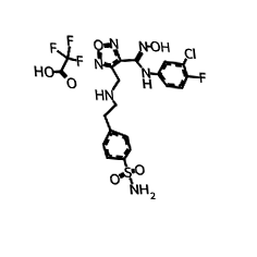 NS(=O)(=O)c1ccc(CCNCc2nonc2/C(=N/O)Nc2ccc(F)c(Cl)c2)cc1.O=C(O)C(F)(F)F